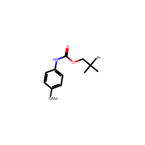 COc1ccc(NC(=O)OCC(C)(C)C(C)C)cc1